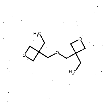 CCC1(COCC2(CC)COC2)COC1